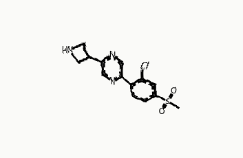 CS(=O)(=O)c1ccc(-c2cnc(C3CNC3)cn2)c(Cl)c1